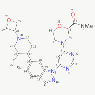 CNC(=O)[C@H]1CN(c2cc(-n3ncc4cc(C)c(C5CCN(C6COC6)CC5F)cc43)ncn2)CCO1